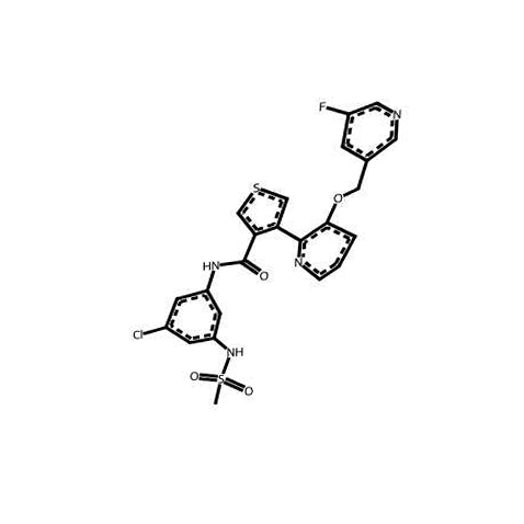 CS(=O)(=O)Nc1cc(Cl)cc(NC(=O)c2cscc2-c2ncccc2OCc2cncc(F)c2)c1